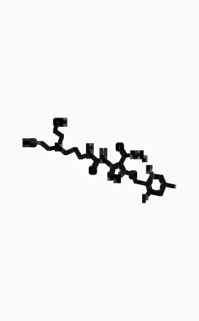 Cc1cc(F)c(COc2nsc(NC(=O)NCCCN(CCO)CCO)c2C(N)=O)c(F)c1